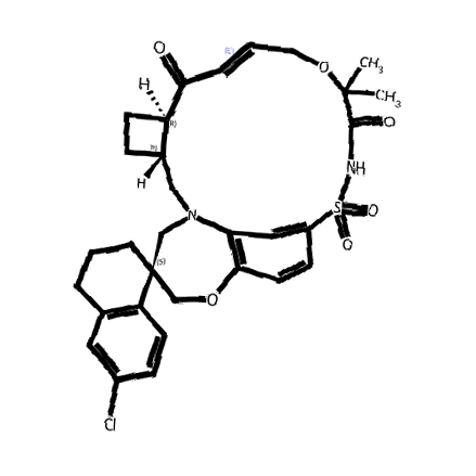 CC1(C)OC/C=C/C(=O)[C@@H]2CC[C@H]2CN2C[C@@]3(CCCc4cc(Cl)ccc43)COc3ccc(cc32)S(=O)(=O)NC1=O